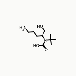 CC(C)(C)N(C(=O)O)[C@H](CO)CCCN